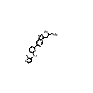 COC(Cc1nnc2cc(-c3ccnc(Nc4ccnn4C)n3)ncn12)C(C)C